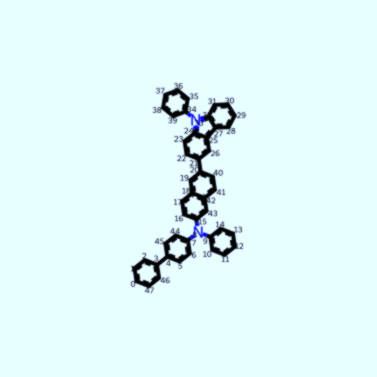 c1ccc(-c2ccc(N(c3ccccc3)c3ccc4cc(-c5ccc6c(c5)c5ccccc5n6-c5ccccc5)ccc4c3)cc2)cc1